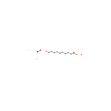 C=C(C)C(=O)OCCCCCCCCCCC(=O)CP=O